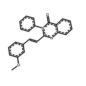 COc1cccc(C=Cc2nc3ccccc3c(=O)n2-c2ccccc2)c1